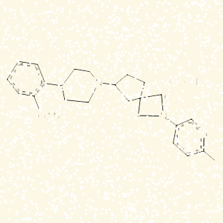 COc1ccccc1C1CCN(C2CCC3(C2)CN(c2ccc(C)nc2)[C@H]3C(=O)O)CC1